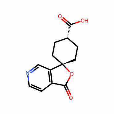 O=C1O[C@]2(CC[C@@H](C(=O)O)CC2)c2cnccc21